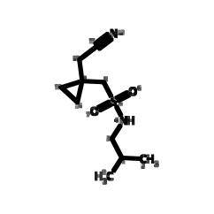 CC(C)CNS(=O)(=O)CC1(CC#N)CC1